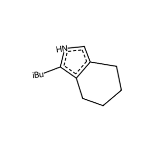 CCC(C)c1[nH]cc2c1CCCC2